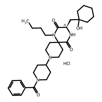 CCCCN1C(=O)[C@@H](CC2(O)CCCCC2)NC(=O)C12CCN(C1CCN(C(=O)c3ccccc3)CC1)CC2.Cl